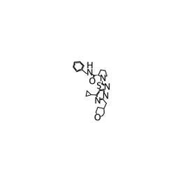 O=C(NCc1ccccc1)[C@H]1CCCN1c1nc2nc(CC3CCOCC3)nc(C3CC3)c2s1